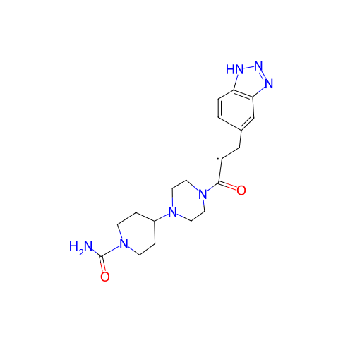 NC(=O)N1CCC(N2CCN(C(=O)[CH]Cc3ccc4[nH]nnc4c3)CC2)CC1